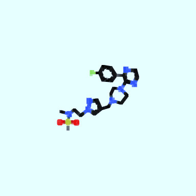 CN(CCn1cc(CN2CCN(c3nccnc3-c3ccc(F)cc3)CC2)cn1)S(C)(=O)=O